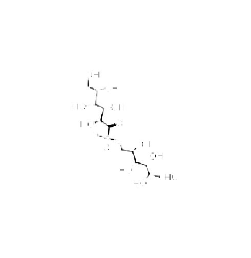 O=C[C@@H](O)[C@@H](O)[C@H](O)[C@H](O)COP(=O)(O)C(=O)[C@@H](O)[C@@H](O)[C@H](O)[C@H](O)CO